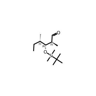 CC[C@H](C)[C@@H](O[Si](C)(C)C(C)(C)C)[C@H](C)C=O